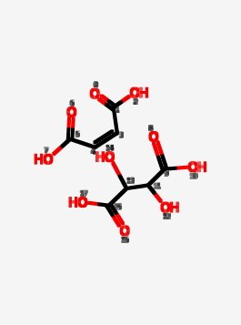 O=C(O)/C=C\C(=O)O.O=C(O)C(O)C(O)C(=O)O